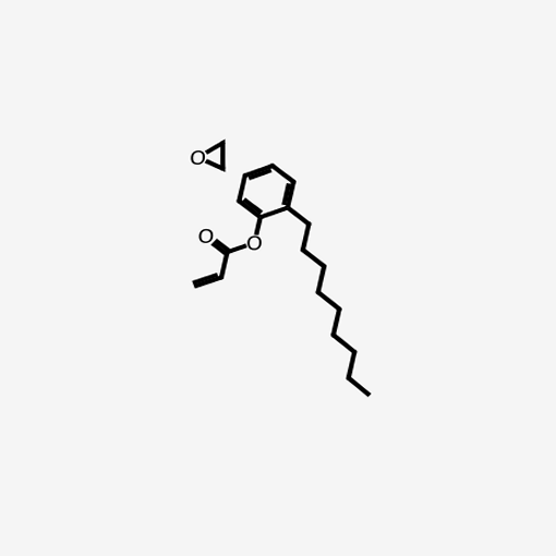 C1CO1.C=CC(=O)Oc1ccccc1CCCCCCCCC